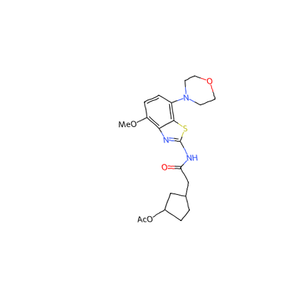 COc1ccc(N2CCOCC2)c2sc(NC(=O)CC3CCC(OC(C)=O)C3)nc12